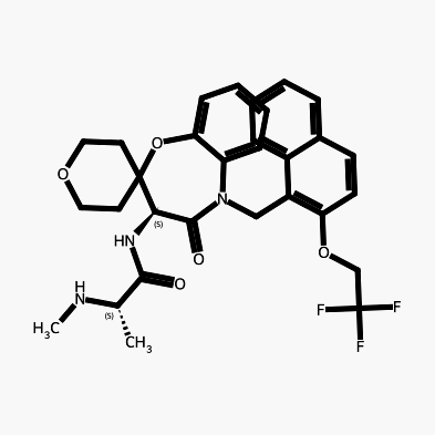 CN[C@@H](C)C(=O)N[C@@H]1C(=O)N(Cc2c(OCC(F)(F)F)ccc3ccccc23)c2ccccc2OC12CCOCC2